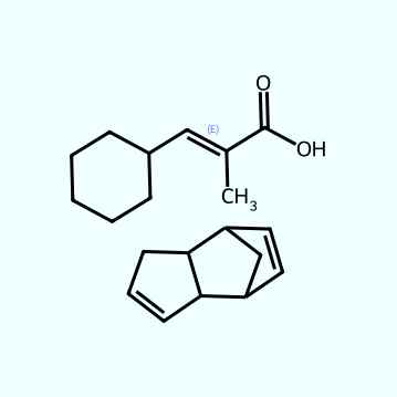 C/C(=C\C1CCCCC1)C(=O)O.C1=CC2C3C=CC(C3)C2C1